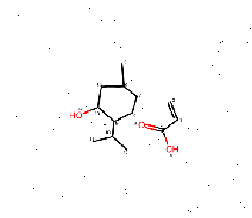 C=CC(=O)O.CC1CCC(C(C)C)C(O)C1